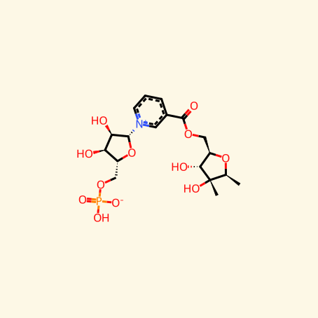 C[C@@H]1O[C@H](COC(=O)c2ccc[n+]([C@@H]3O[C@H](COP(=O)([O-])O)[C@@H](O)[C@H]3O)c2)[C@@H](O)[C@@]1(C)O